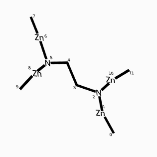 [CH3][Zn][N](CC[N]([Zn][CH3])[Zn][CH3])[Zn][CH3]